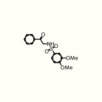 COc1ccc(S(=O)(=O)NCC(=O)c2ccccc2)cc1OC